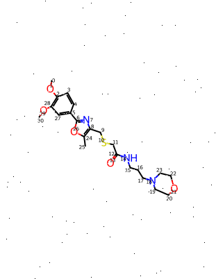 COc1ccc(-c2nc(CSCC(=O)NCCCN3CCOCC3)c(C)o2)cc1OC